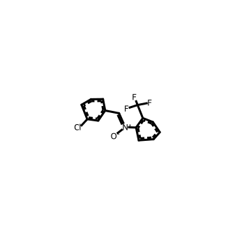 [O-][N+](=Cc1cccc(Cl)c1)c1ccccc1C(F)(F)F